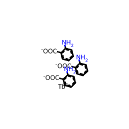 Nc1ccccc1C(=O)[O-].Nc1ccccc1C(=O)[O-].Nc1ccccc1C(=O)[O-].[Tb+3]